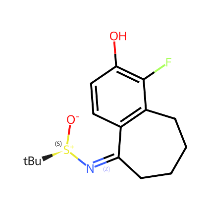 CC(C)(C)[S@@+]([O-])/N=C1/CCCCc2c1ccc(O)c2F